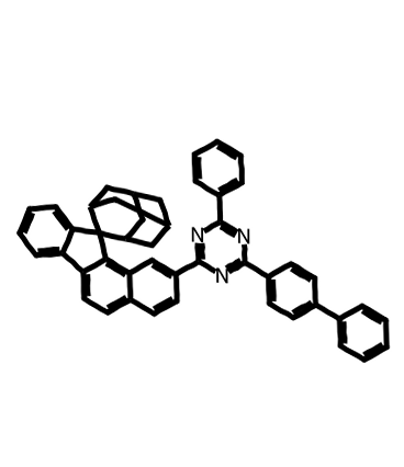 c1ccc(-c2ccc(-c3nc(-c4ccccc4)nc(-c4ccc5ccc6c(c5c4)C4(c5ccccc5-6)C5CC6CC(C5)CC4C6)n3)cc2)cc1